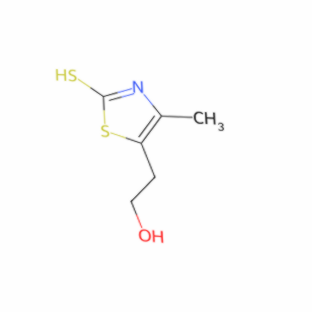 Cc1nc(S)sc1CCO